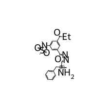 CCC(=O)c1cc(-c2nnc([C@](C)(N)Cc3ccccc3)o2)cc(N(C)S(C)(=O)=O)c1